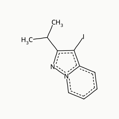 CC(C)c1nn2ccccc2c1I